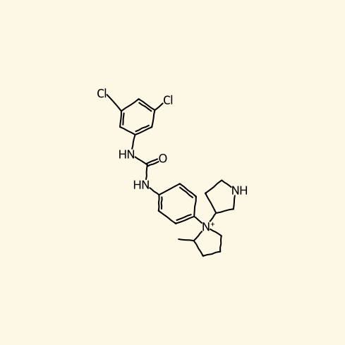 CC1CCC[N+]1(c1ccc(NC(=O)Nc2cc(Cl)cc(Cl)c2)cc1)C1CCNC1